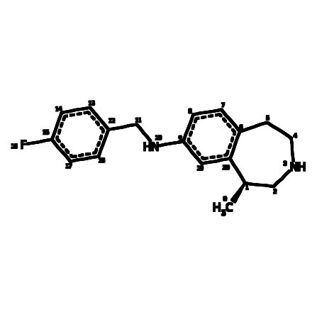 C[C@@H]1CNCCc2ccc(NCc3ccc(F)cc3)cc21